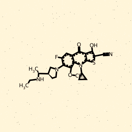 CCN[C@@H](C)[C@@H]1CCN(c2c(F)cc3c(=O)c4c(O)c(C#N)sc4n(C4CC4)c3c2OC)C1